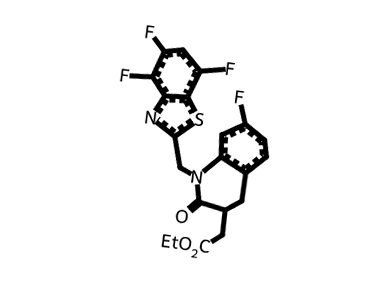 CCOC(=O)CC1Cc2ccc(F)cc2N(Cc2nc3c(F)c(F)cc(F)c3s2)C1=O